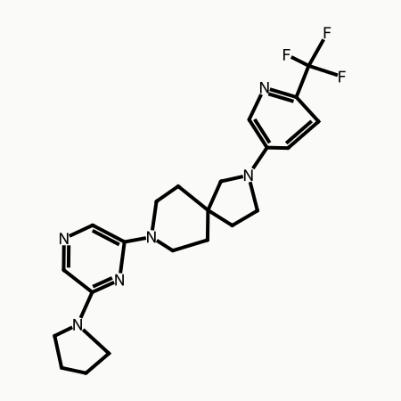 FC(F)(F)c1ccc(N2CCC3(CCN(c4cncc(N5CCCC5)n4)CC3)C2)cn1